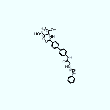 C[C@@H](O)[C@H](NC(=O)c1ccc(-c2ccc(NC(=O)CN[C@@H]3C[C@@H]3c3ccccc3)cc2)cc1)C(=O)NO